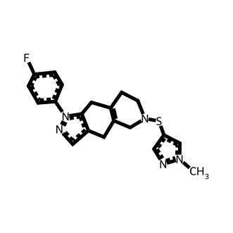 Cn1cc(SN2CCC3=C(Cc4cnn(-c5ccc(F)cc5)c4C3)C2)cn1